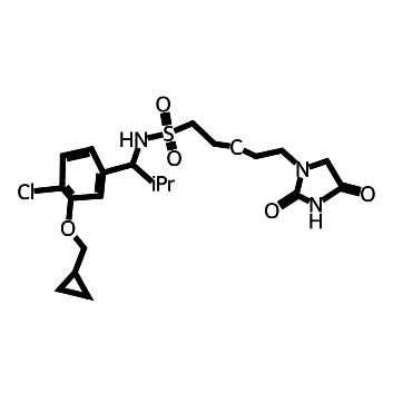 CC(C)C(NS(=O)(=O)CCCCCN1CC(=O)NC1=O)c1ccc(Cl)c(OCC2CC2)c1